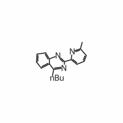 CCCCc1nc(-c2cccc(C)n2)nc2ccccc12